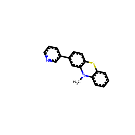 CN1c2ccccc2Sc2ccc(-c3cccnc3)cc21